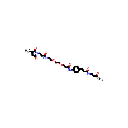 CC(=O)CCNC(=O)CCc1ccc(NC(=O)CCOCCOCCNC(=O)CCN2C(=O)C=C(C)C2=O)cc1